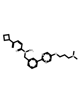 C=C(/C=C\C(=O)N(N)Cc1cccc(-c2ncc(OCCCN(C)C)cn2)c1)C1CCC1